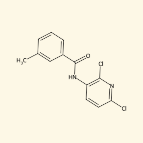 Cc1cccc(C(=O)Nc2ccc(Cl)nc2Cl)c1